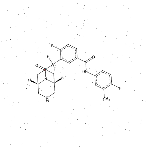 Cc1cc(NC(=O)c2ccc(F)c(C(F)(F)C(=O)N3[C@@H]4CNC[C@H]3COC4)c2)ccc1F